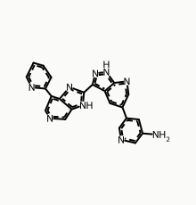 Nc1cncc(-c2cnc3[nH]nc(-c4nc5c(-c6ccccn6)cncc5[nH]4)c3c2)c1